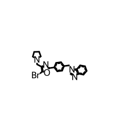 Brc1oc(-c2ccc(Cn3cnc4ccccc43)cc2)nc1CN1CCCC1